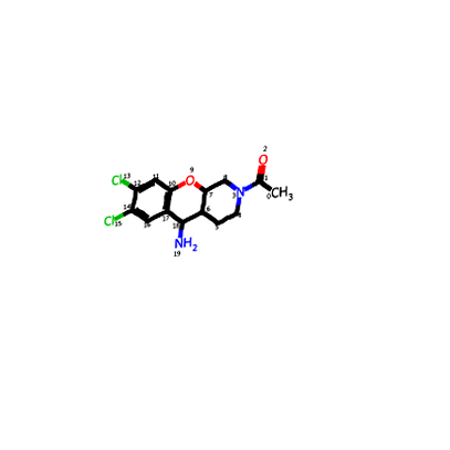 CC(=O)N1CCC2C(C1)Oc1cc(Cl)c(Cl)cc1C2N